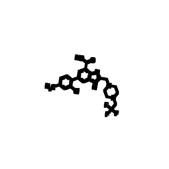 Cc1ccc(-c2cc(C(=O)O)c3nc(CN4CCN(CC(F)(F)F)CC4)[nH]c3c2)c(Cl)c1